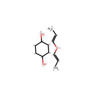 CC=COC=CC.OC1CCC(O)CC1